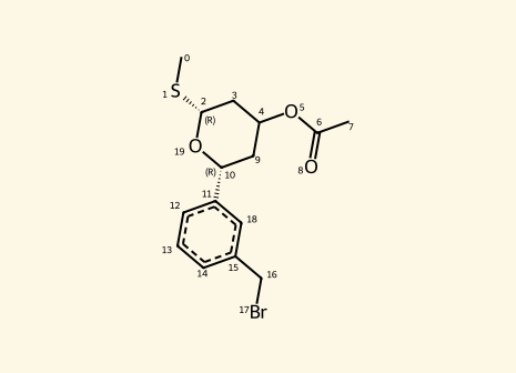 CS[C@@H]1CC(OC(C)=O)C[C@H](c2cccc(CBr)c2)O1